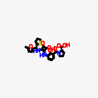 Cc1ccc(C(Nc2c(Nc3cccc(C(=O)N4CCC[C@@H]4C(=O)O)c3O)c(=O)c2=O)[C@@H]2CCCS2)o1